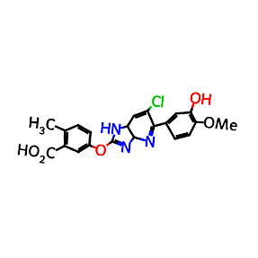 COc1ccc(C2=NC3N=C(Oc4ccc(C)c(C(=O)O)c4)NC3C=C2Cl)cc1O